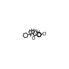 CC(NC(=O)c1ccc(Cl)cc1N)(C(=O)O)C1CCCCC1